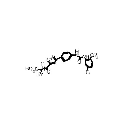 Cc1ccc(Cl)cc1NC(=O)Nc1ccc(-c2cc(C(=O)NC(C(=O)O)C(C)C)on2)cc1